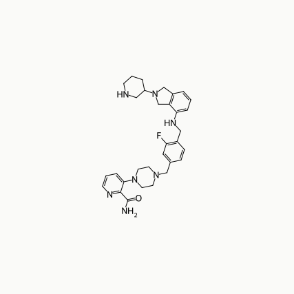 NC(=O)c1ncccc1N1CCN(Cc2ccc(CNc3cccc4c3CN(C3CCCNC3)C4)c(F)c2)CC1